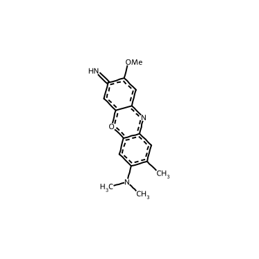 COc1cc2nc3cc(C)c(N(C)C)cc3oc-2cc1=N